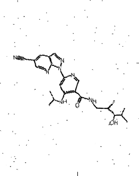 CC(C)Nc1cc(-n2ncc3cc(C#N)cnc32)ncc1C(=O)NCC(F)C(O)C(C)C